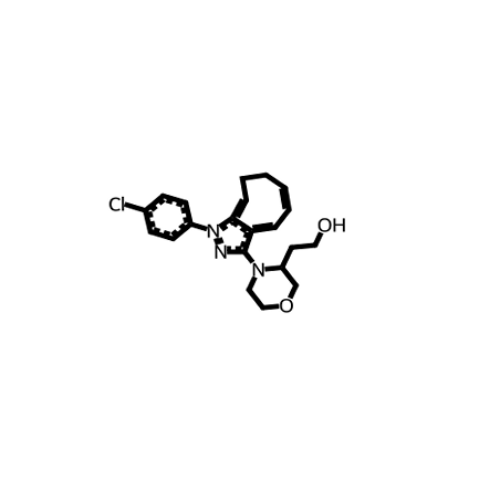 OCCC1COCCN1c1nn(-c2ccc(Cl)cc2)c2/c1=C\C=C/CC/C=2